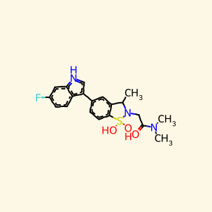 CC1c2cc(-c3c[nH]c4cc(F)ccc34)ccc2S(O)(O)N1CC(=O)N(C)C